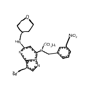 CC(C)c1cnn2c(N(Cc3cccc([N+](=O)[O-])c3)C(=O)O)cc(NC3CCOCC3)nc12